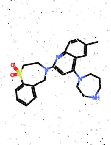 Cc1ccc2nc(N3CCS(=O)(=O)c4ccccc4C3)cc(N3CCCNCC3)c2c1